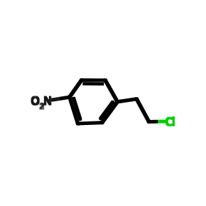 O=[N+]([O-])c1ccc(CCCl)cc1